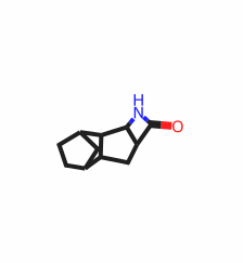 O=C1NC2C1CC1C3CCC(C3)C12